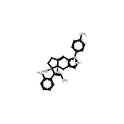 C/C=C(\c1ccccc1C)[C@]1(O)CCC2=Cc3c(cnn3-c3ccc(C)cc3)C[C@@]21C